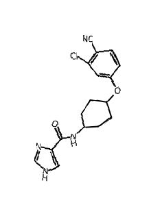 N#Cc1ccc(OC2CCC(NC(=O)c3c[nH]cn3)CC2)cc1Cl